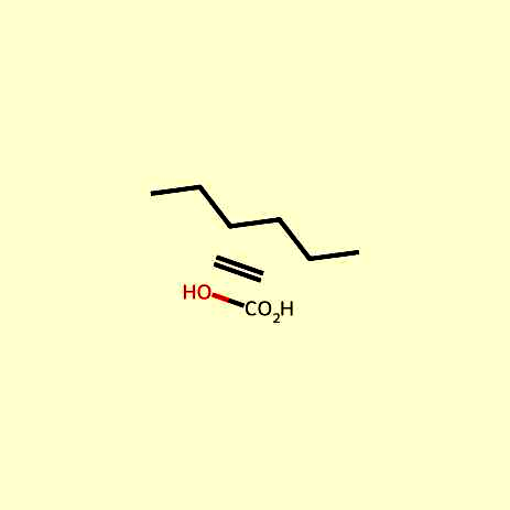 C=C.CCCCCC.O=C(O)O